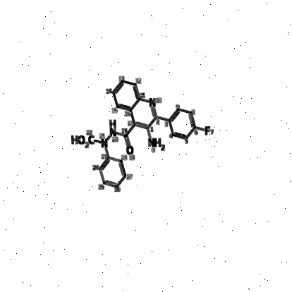 Nc1c(-c2ccc(F)cc2)nc2ccccc2c1C(=O)NN(C(=O)O)c1ccccc1